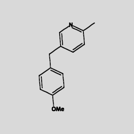 COc1ccc(Cc2ccc(C)nc2)cc1